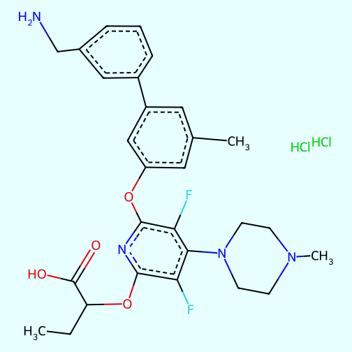 CCC(Oc1nc(Oc2cc(C)cc(-c3cccc(CN)c3)c2)c(F)c(N2CCN(C)CC2)c1F)C(=O)O.Cl.Cl